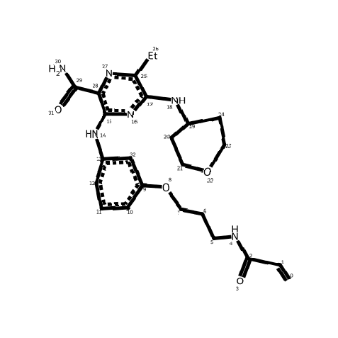 C=CC(=O)NCCCOc1cccc(Nc2nc(NC3CCOCC3)c(CC)nc2C(N)=O)c1